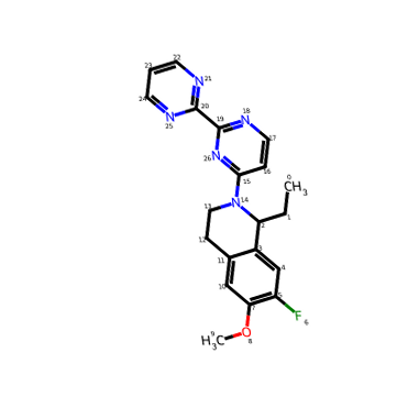 CCC1c2cc(F)c(OC)cc2CCN1c1ccnc(-c2ncccn2)n1